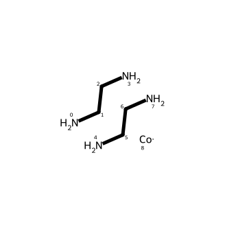 NCCN.NCCN.[Co]